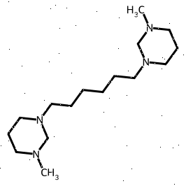 CN1CCCN(CCCCCCN2CCCN(C)C2)C1